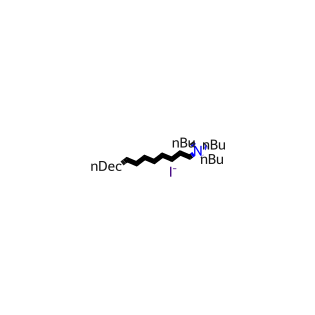 CCCCCCCCCCCCCCCCCC[N+](CCCC)(CCCC)CCCC.[I-]